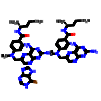 CN(Cc1cnc2nc(N)nc(N)c2n1)c1ccc(C(=O)N[C@@H](CCC(=O)O)C(=O)O)cc1.CN(Cc1cnc2nc(N)nc(N)c2n1)c1ccc(C(=O)N[C@@H](CCC(=O)O)C(=O)O)cc1.S=c1[nH]cnc2nc[nH]c12